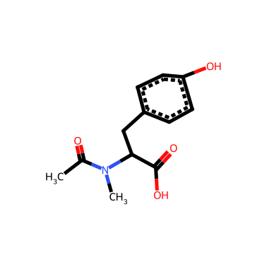 CC(=O)N(C)C(Cc1ccc(O)cc1)C(=O)O